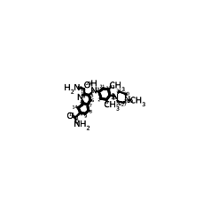 Cc1cc(Nc2cc3ccc(C(N)=O)cc3nc2C(N)=O)cc(C)c1N1CCN(C)CC1